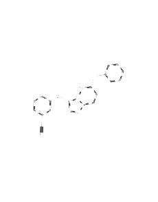 N#Cc1cccc(Nc2nnc3ccc(Sc4ccccc4)nn23)c1